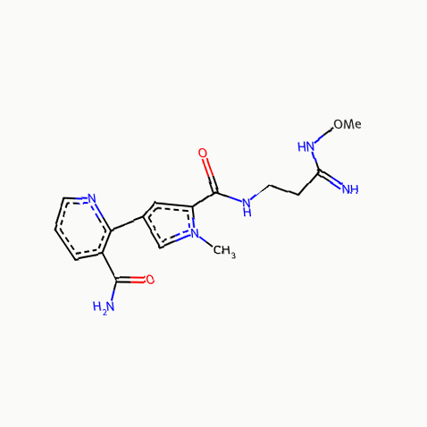 CONC(=N)CCNC(=O)c1cc(-c2ncccc2C(N)=O)cn1C